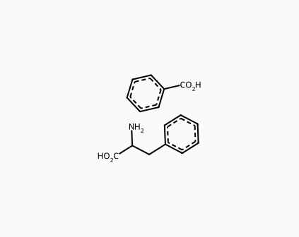 NC(Cc1ccccc1)C(=O)O.O=C(O)c1ccccc1